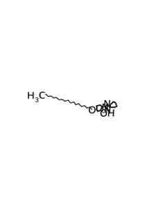 CCCCCCCCCCCCCCCCCCOc1ccc(-n2nc3ccccc3n2)c(O)c1